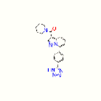 O=C(c1cnn2c(-c3ccc(-c4nnn[nH]4)cc3)cccc12)N1CCCCC1